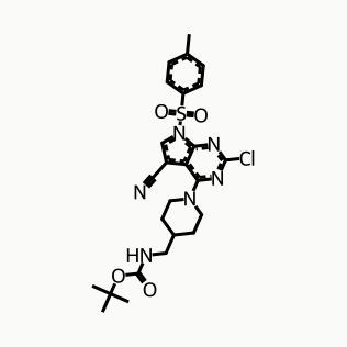 Cc1ccc(S(=O)(=O)n2cc(C#N)c3c(N4CCC(CNC(=O)OC(C)(C)C)CC4)nc(Cl)nc32)cc1